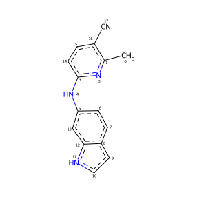 Cc1nc(Nc2ccc3cc[nH]c3c2)ccc1C#N